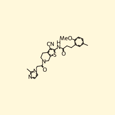 COc1ccc(C)cc1CCC(=O)Nc1sc2c(c1C#N)CCN(C(=O)Cn1ccnc1C)C2